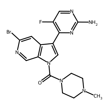 CN1CCN(C(=O)n2cc(-c3nc(N)ncc3F)c3cc(Br)ncc32)CC1